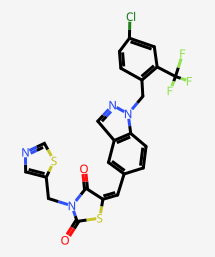 O=C1SC(=Cc2ccc3c(cnn3Cc3ccc(Cl)cc3C(F)(F)F)c2)C(=O)N1Cc1cncs1